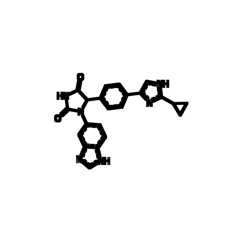 O=C1NC(=O)N(c2ccc3[nH]cnc3c2)C1c1ccc(-c2c[nH]c(C3CC3)n2)cc1